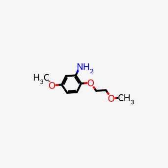 COCCOc1ccc(OC)cc1N